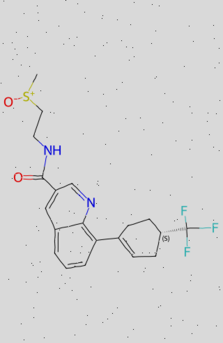 C[S+]([O-])CCNC(=O)c1cnc2c(C3=CC[C@@H](C(F)(F)F)CC3)cccc2c1